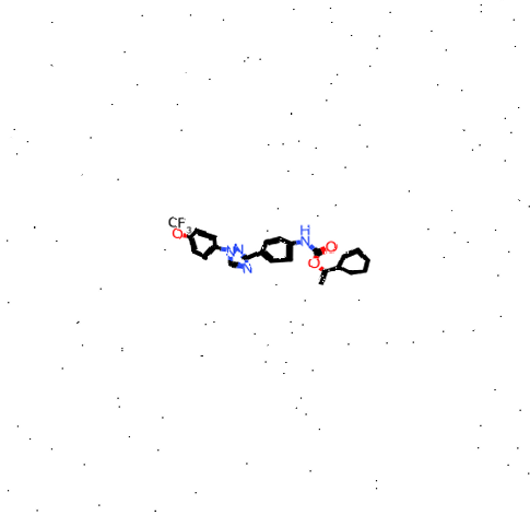 CC(OC(=O)Nc1ccc(-c2ncn(-c3ccc(OC(F)(F)F)cc3)n2)cc1)C1CCCCC1